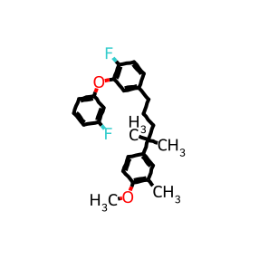 COc1ccc(C(C)(C)CCCc2ccc(F)c(Oc3cccc(F)c3)c2)cc1C